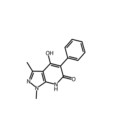 Cc1nn(C)c2[nH]c(=O)c(-c3ccccc3)c(O)c12